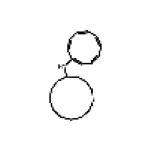 c1ccccc(NC2CCCCCCCCCCCC2)cccc1